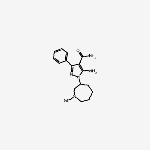 N#CN1CCCCC(n2nc(-c3ccccc3)c(C(N)=O)c2N)C1